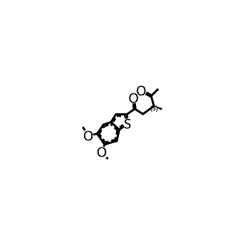 COc1cc2cc(C(=O)C[C@H](C)C(C)=O)sc2cc1OC